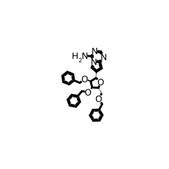 Nc1ncnc2cc([C@@H]3O[C@H](COCc4ccccc4)[C@@H](OCc4ccccc4)[C@H]3OCc3ccccc3)cn12